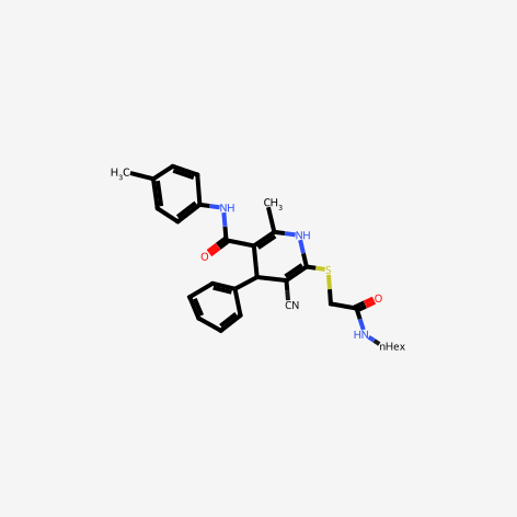 CCCCCCNC(=O)CSC1=C(C#N)C(c2ccccc2)C(C(=O)Nc2ccc(C)cc2)=C(C)N1